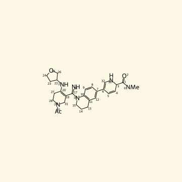 CNC(=O)C1C=CC(c2ccc3c(c2)CCCN3C(=N)C2=C(NC3CCOC3)CCN(C(C)=O)C2)=CN1